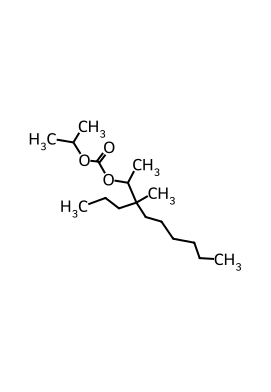 CCCCCCC(C)(CCC)C(C)OC(=O)OC(C)C